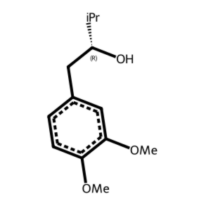 COc1ccc(C[C@@H](O)C(C)C)cc1OC